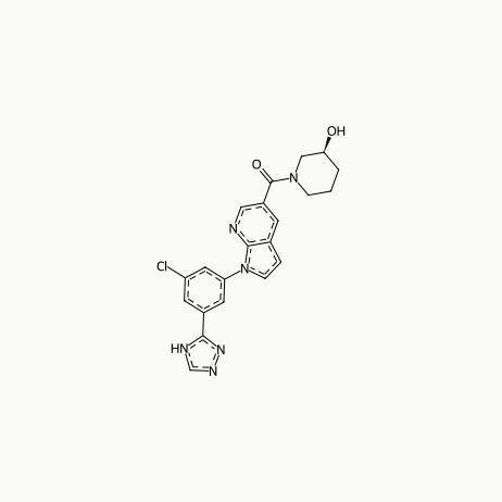 O=C(c1cnc2c(ccn2-c2cc(Cl)cc(-c3nnc[nH]3)c2)c1)N1CCC[C@H](O)C1